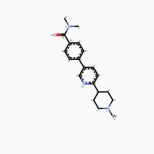 CC(C)N1CCC(c2ccc(-c3ccc(C(=O)N(C)C)cc3)cn2)CC1